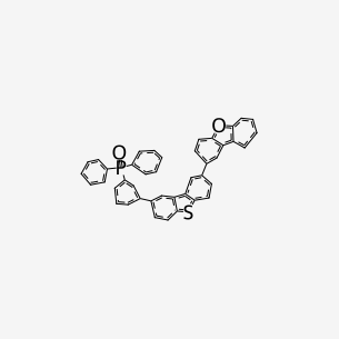 O=P(c1ccccc1)(c1ccccc1)c1cccc(-c2ccc3sc4ccc(-c5ccc6oc7ccccc7c6c5)cc4c3c2)c1